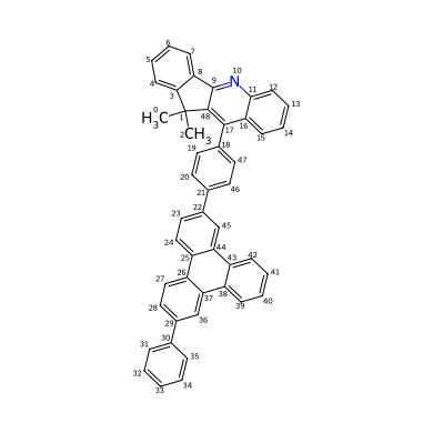 CC1(C)c2ccccc2-c2nc3ccccc3c(-c3ccc(-c4ccc5c6ccc(-c7ccccc7)cc6c6ccccc6c5c4)cc3)c21